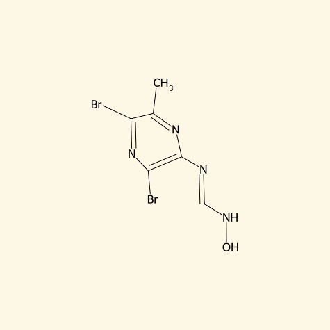 Cc1nc(/N=C/NO)c(Br)nc1Br